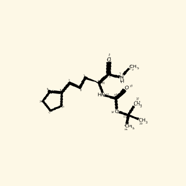 CNC(=O)[C@H](CCCC1CCCC1)NC(=O)OC(C)(C)C